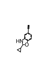 C#Cc1ccc2c(c1)NC(C1CC1)O2